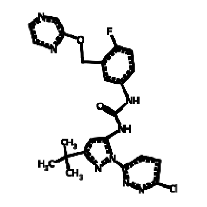 CC(C)(C)c1cc(NC(=O)Nc2ccc(F)c(COc3cnccn3)c2)n(-c2ccc(Cl)nn2)n1